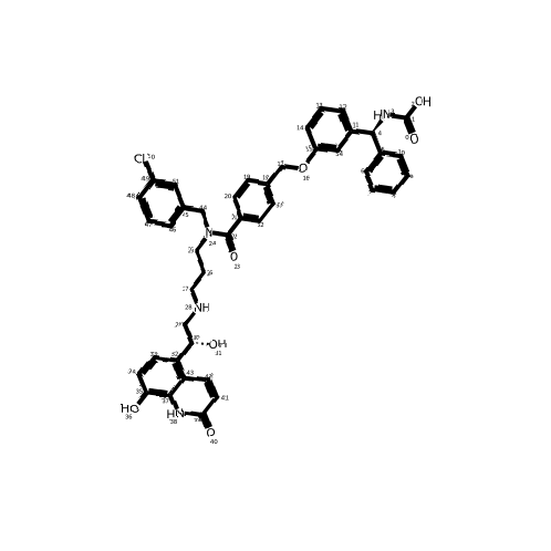 O=C(O)N[C@@H](c1ccccc1)c1cccc(OCc2ccc(C(=O)N(CCCNC[C@H](O)c3ccc(O)c4[nH]c(=O)ccc34)Cc3cccc(Cl)c3)cc2)c1